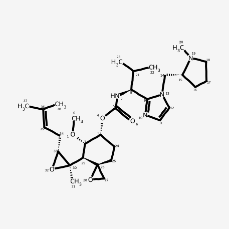 CO[C@@H]1[C@H](OC(=O)N[C@H](c2nccn2C[C@H]2CCCN2C)C(C)C)CC[C@]2(CO2)[C@H]1[C@@]1(C)O[C@@H]1CC=C(C)C